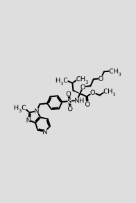 CCOCCO[C@@](CC(C)C)(NS(=O)(=O)c1ccc(Cn2c(C)nc3cnccc32)cc1)C(=O)OCC